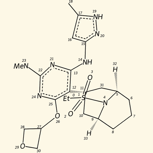 CCS(=O)(=O)N1[C@@H]2CCC[C@H]1C[C@H](c1c(Nc3cc(C)[nH]n3)nc(NC)nc1OC1COC1)C2